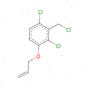 C=CCOc1ccc(Cl)c(CCl)c1Cl